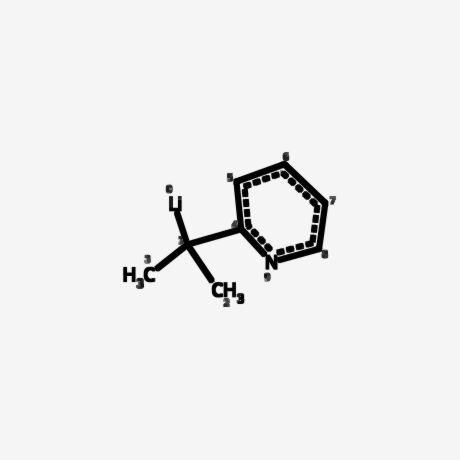 [Li][C](C)(C)c1ccccn1